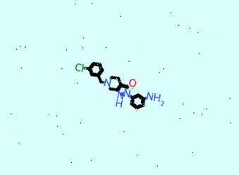 Nc1cccc(-n2[nH]c3c(c2=O)CCN(Cc2cccc(Cl)c2)C3)c1